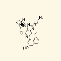 CCc1cccc2cc(O)cc(-c3cc4nc(N5CC(N(C)C)C5)nc5c4c(n3)OCC3C4CC[C@@H](CN53)N4)c12